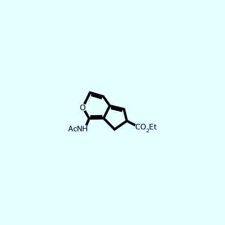 CCOC(=O)C1C=C2C=COC(NC(C)=O)=C2C1